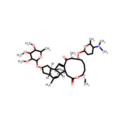 CC[C@H]1CCC[C@H](OC2CCC(N(C)C)C(C)O2)[C@@H](C)C(=O)C2=C[C@@H]3[C@@H](C=C(C)[C@@H]4C[C@@H](OC5OC(C)C(OC)C(OC)C5OC)C[C@@H]34)[C@@H]2CC(=O)O1